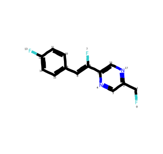 FCc1cnc(/C(F)=C/c2ccc(F)cc2)cn1